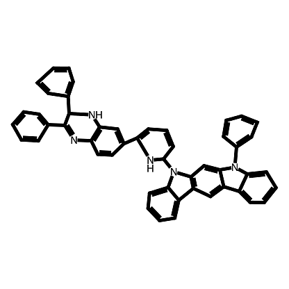 C1=CC(n2c3ccccc3c3cc4c5ccccc5n(-c5ccccc5)c4cc32)NC(c2ccc3c(c2)NC(c2ccccc2)C(c2ccccc2)=N3)=C1